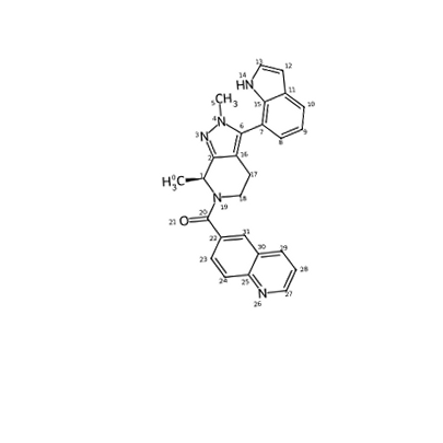 C[C@H]1c2nn(C)c(-c3cccc4cc[nH]c34)c2CCN1C(=O)c1ccc2ncccc2c1